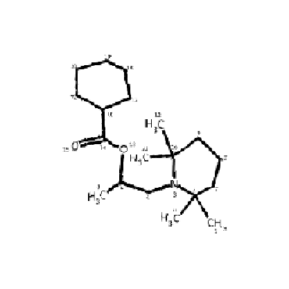 CC(CN1C(C)(C)CCCC1(C)C)OC(=O)C1CCCCC1